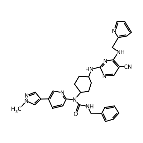 Cn1cc(-c2ccc(N(C(=O)NCc3ccccc3)C3CCC(Nc4ncc(C#N)c(NCc5ccccn5)n4)CC3)nc2)cn1